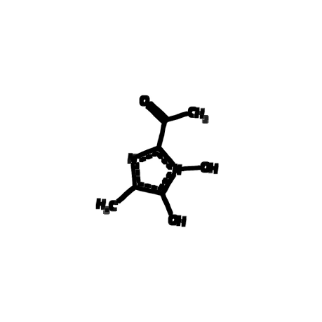 CC(=O)c1nc(C)c(O)n1O